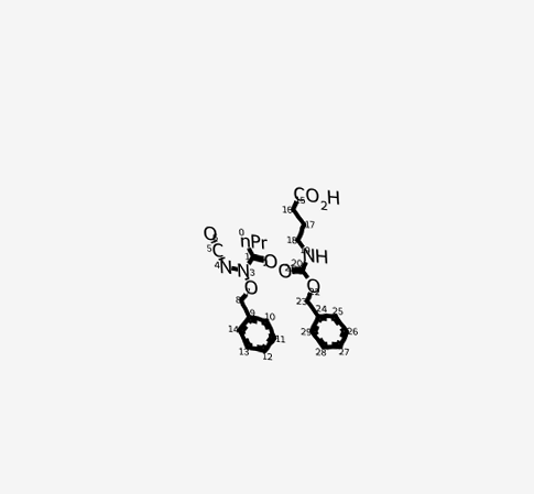 CCCC(=O)N(N=C=O)OCc1ccccc1.O=C(O)CCCNC(=O)OCc1ccccc1